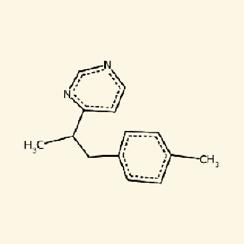 Cc1ccc(CC(C)c2ccncn2)cc1